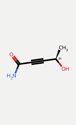 C[C@@H](O)C#CC(N)=O